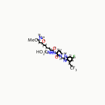 COC(CC(=O)/C=C/CCC(NC(=O)O)C(=O)Nc1cccn(Cc2nc3c(CCC(F)(F)F)cc(F)cc3n2C)c1=O)N(C)C